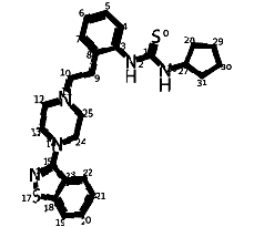 S=C(Nc1ccccc1CCN1CCN(c2nsc3ccccc23)CC1)NC1CCCC1